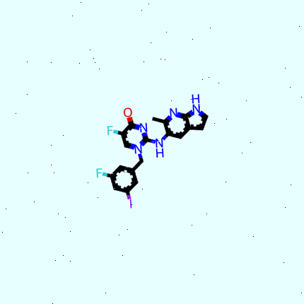 Cc1nc2[nH]ccc2cc1Nc1nc(=O)c(F)cn1Cc1cc(F)cc(I)c1